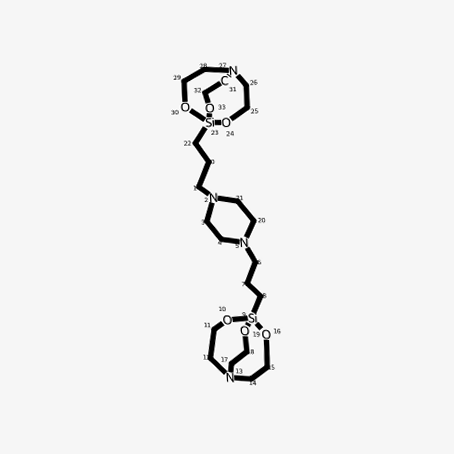 C(CN1CCN(CCC[Si]23OCCN(CCO2)CCO3)CC1)C[Si]12OCCN(CCO1)CCO2